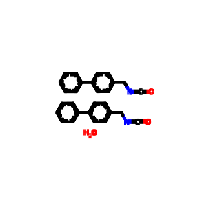 O.O=C=NCc1ccc(-c2ccccc2)cc1.O=C=NCc1ccc(-c2ccccc2)cc1